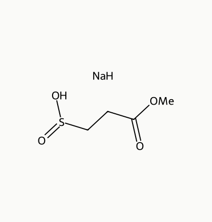 COC(=O)CCS(=O)O.[NaH]